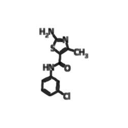 Cc1nc(N)sc1C(=O)Nc1cccc(Cl)c1